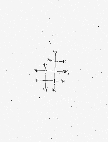 [2H]C([2H])([2H])C1(N)C([2H])([2H])C([2H])([2H])C1([2H])[2H]